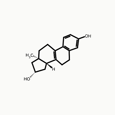 C[C@]12CCC3=C(CCc4cc(O)ccc43)[C@@H]1C[C@H](O)C2